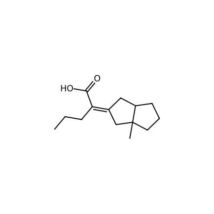 CCC/C(C(=O)O)=C1/CC2CCCC2(C)C1